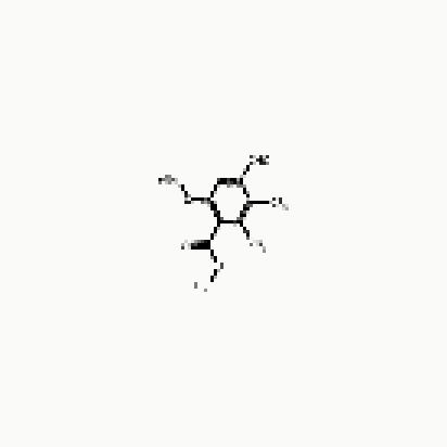 CCCCOc1cc(C=O)c(C(F)(F)F)c(C)c1C(=O)OP